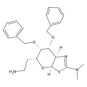 CN(C)C1=N[C@@H]2[C@@H](OCc3ccccc3)[C@@H](OCc3ccccc3)[C@@H](CCN)O[C@@H]2S1